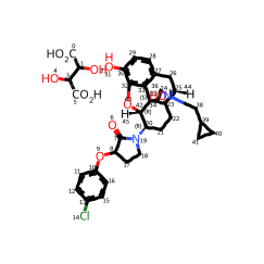 O=C(O)C(O)C(O)C(=O)O.O=C1C(Oc2ccc(Cl)cc2)CCN1[C@@H]1CCC2(O)[C@H]3Cc4ccc(O)c5c4[C@@]2(CCN3CC2CC2)[C@H]1O5